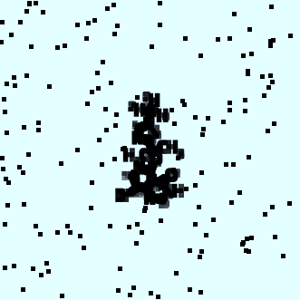 [2H]C([2H])([2H])n1cnc(C(C)(C)Oc2ncc(Br)c3nc[nH]c(=O)c23)n1